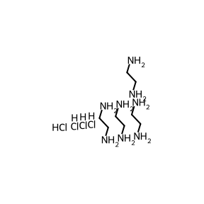 Cl.Cl.Cl.Cl.NCCN.NCCN.NCCN.NCCN